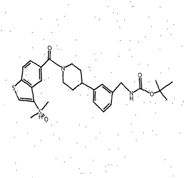 CC(C)(C)OC(=O)NCc1cccc(C2CCN(C(=O)c3ccc4scc([SH](C)(C)=O)c4c3)CC2)c1